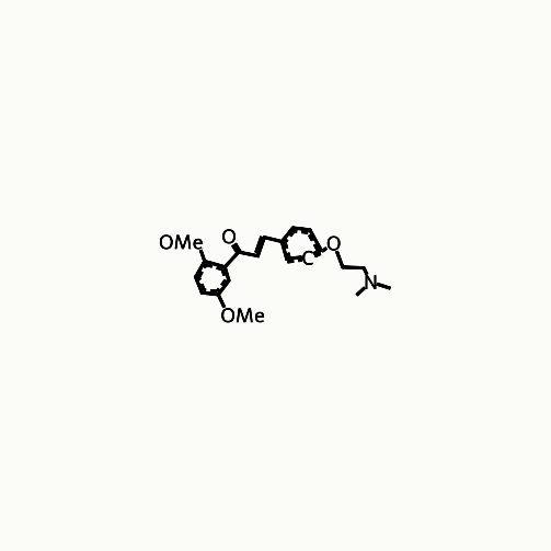 COc1ccc(OC)c(C(=O)/C=C/c2ccc(OCCN(C)C)cc2)c1